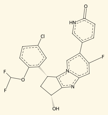 O=c1ccc(-c2cn3c4c(nc3cc2F)[C@H](O)C[C@@H]4c2cc(Cl)ccc2OC(F)F)c[nH]1